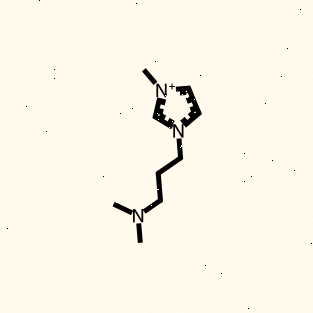 CN(C)CCCn1cc[n+](C)c1